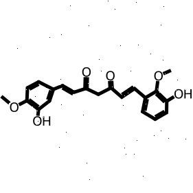 COc1ccc(/C=C/C(=O)CC(=O)/C=C/c2cccc(O)c2OC)cc1O